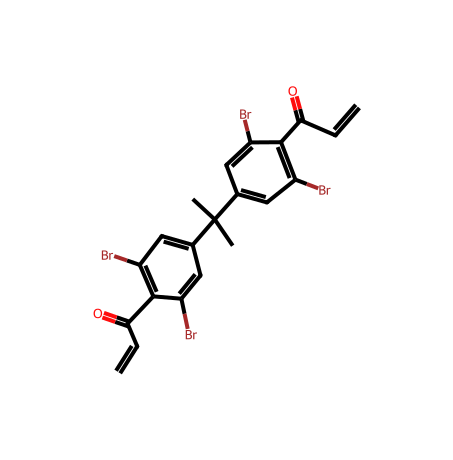 C=CC(=O)c1c(Br)cc(C(C)(C)c2cc(Br)c(C(=O)C=C)c(Br)c2)cc1Br